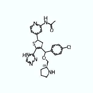 CC(=O)Nc1cc(C2CC(C(OC[C@@H]3CCCN3)c3ccc(Cl)cc3)=C(c3nnc[nH]3)S2)ccn1